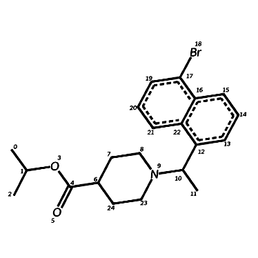 CC(C)OC(=O)C1CCN(C(C)c2cccc3c(Br)cccc23)CC1